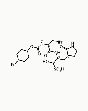 CC(C)C[C@H](NC(=O)OC1CCC(C(C)C)CC1)C(=O)N[C@@H](C[C@@H]1CCNC1=O)C(O)S(=O)(=O)O